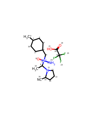 CC1CCC(C[N+](N)([O-])C(C)N2CCCC2C#N)CC1.O=C(O)C(F)(F)F